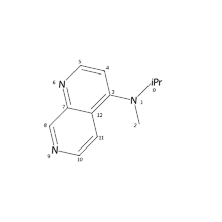 CC(C)N(C)c1ccnc2cnccc12